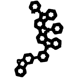 C1=CC2Oc3ccccc3C2C=C1c1cccc(-n2c3ccccc3c3c2ccc2c4ccc5c(c6ccccc6n5-c5ccccn5)c4n(-c4ccccc4)c23)c1